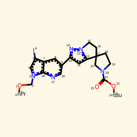 CCCOCn1cc(I)c2cc(-c3cc4n(n3)CCC43CCN(C(=O)OC(C)(C)C)C3)cnc21